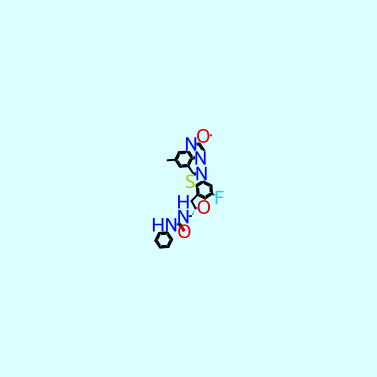 COc1cnc2c(-c3nc4cc(F)c5c(c4s3)C[C@@H](CNC(=O)Nc3ccccc3)O5)cc(C)cc2n1